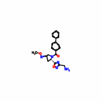 CON=C1C[C@@H](c2nc(CN)no2)N(C(=O)c2ccc(-c3ccccc3)cc2)C1